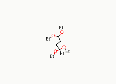 CCOC(CCC(CC)(OCC)OCC)OCC